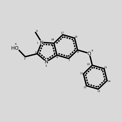 Cn1c(CO)nc2cc(Oc3ccccc3)ccc21